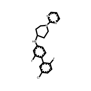 Fc1cc(NC2CCN(c3ncccn3)CC2)ccc1-c1cc(Cl)ccc1F